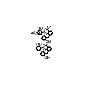 O=C([O-])c1cccc(Cc2ccccc2O)c1OCc1ccccc1O.O=C([O-])c1cccc(Cc2ccccc2O)c1OCc1ccccc1O.[OH][Al+2]